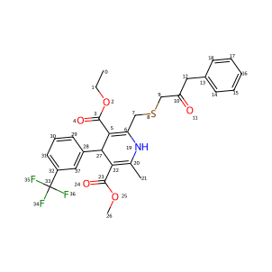 CCOC(=O)C1=C(CSCC(=O)Cc2ccccc2)NC(C)=C(C(=O)OC)C1c1cccc(C(F)(F)F)c1